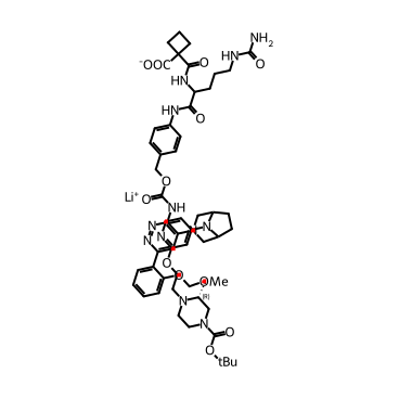 COCOc1ccccc1-c1cc(N2CC3CCC(C2)N3c2ccnc(OCCN3CCN(C(=O)OC(C)(C)C)C[C@H]3C)c2)c(NC(=O)OCc2ccc(NC(=O)C(CCCNC(N)=O)NC(=O)C3(C(=O)[O-])CCC3)cc2)nn1.[Li+]